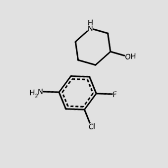 Nc1ccc(F)c(Cl)c1.OC1CCCNC1